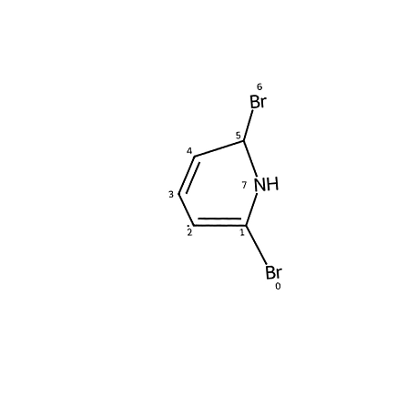 BrC1=[C]C=CC(Br)N1